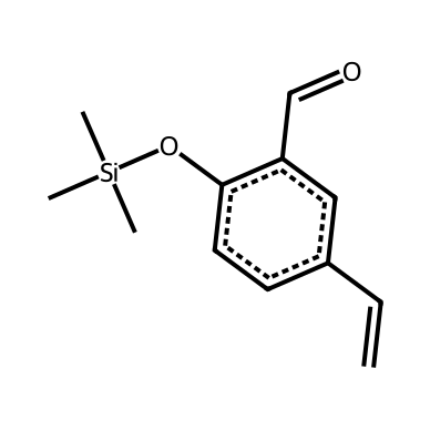 C=Cc1ccc(O[Si](C)(C)C)c(C=O)c1